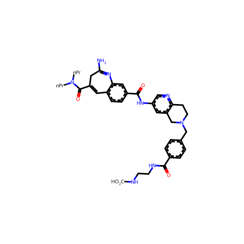 CCCN(CCC)C(=O)C1=Cc2ccc(C(=O)Nc3cnc4c(c3)CN(Cc3ccc(C(=O)NCCNC(=O)O)cc3)CC4)cc2N=C(N)C1